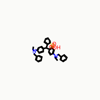 CCN(Cc1ccccc1)c1ccc(C(c2ccc(N(CC)Cc3ccccc3)cc2)c2ccccc2S(=O)(=O)O)cc1